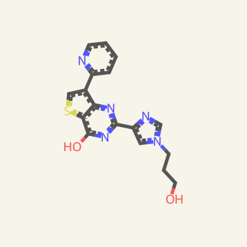 OCCCn1cnc(-c2nc(O)c3scc(-c4ccccn4)c3n2)c1